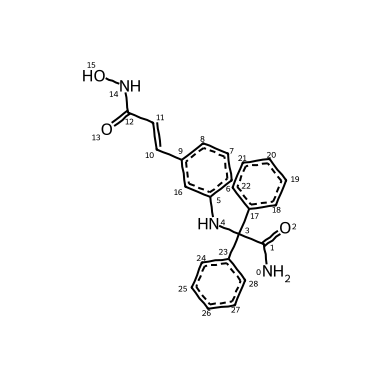 NC(=O)C(Nc1cccc(/C=C/C(=O)NO)c1)(c1ccccc1)c1ccccc1